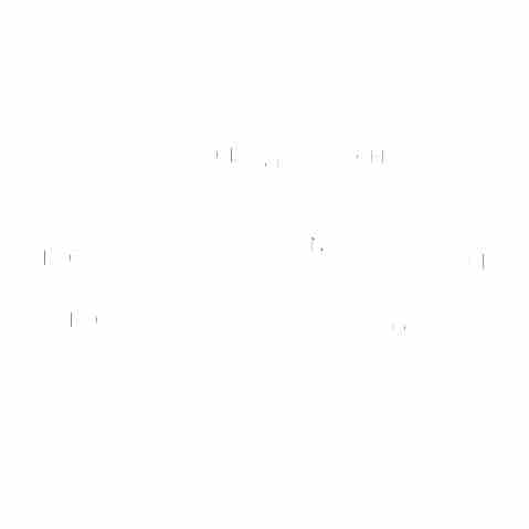 CC(=O)N(C(=O)CCl)c1cccc2c1C(C)CC2(C)C